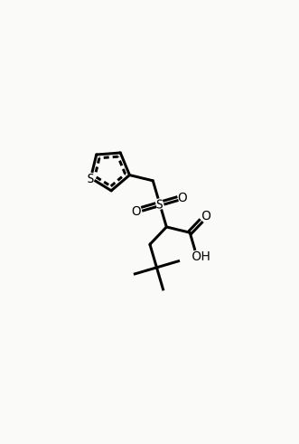 CC(C)(C)CC(C(=O)O)S(=O)(=O)Cc1ccsc1